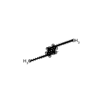 CCCCCCCCCCCCCCCCCCN1C(=O)c2ccc3c4c([N+](=O)[O-])cc5c6c(ccc(c7c([N+](=O)[O-])cc(c2c37)C1=O)c64)C(=O)N(CCCCCCCCCCCCCCCCCC)C5=O